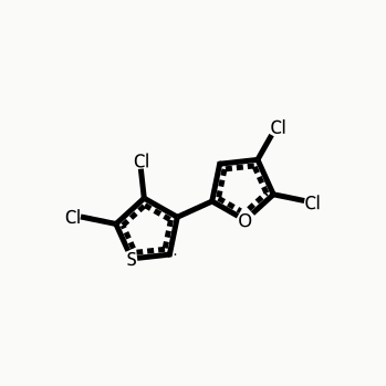 Clc1cc(-c2[c]sc(Cl)c2Cl)oc1Cl